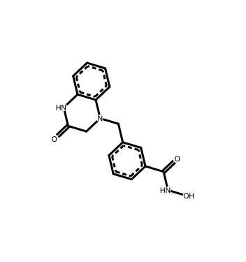 O=C1CN(Cc2cccc(C(=O)NO)c2)c2ccccc2N1